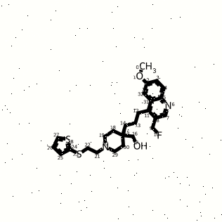 COc1ccc2ncc(CF)c(CCCC3(CO)CCN(CCSc4cccs4)CC3)c2c1